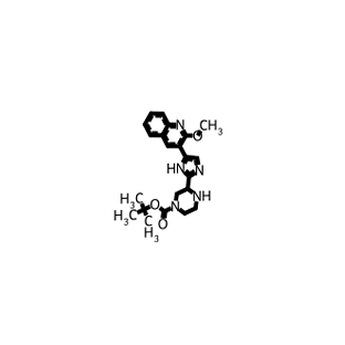 COc1nc2ccccc2cc1-c1cnc(C2CN(C(=O)OC(C)(C)C)CCN2)[nH]1